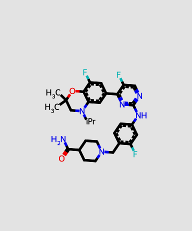 CC(C)N1CC(C)(C)Oc2c(F)cc(-c3nc(Nc4ccc(CN5CCC(C(N)=O)CC5)c(F)c4)ncc3F)cc21